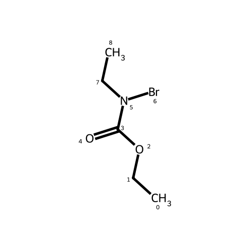 CCOC(=O)N(Br)CC